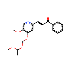 COc1cnc(/C=C/C(=O)c2ccccc2)cc1OCOC(C)OC